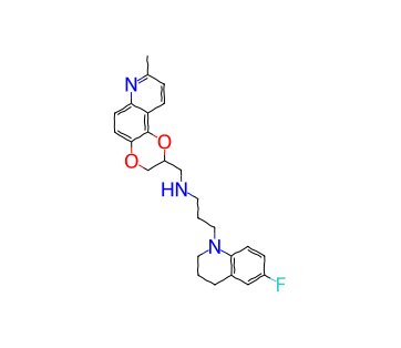 Cc1ccc2c3c(ccc2n1)OCC(CNCCCN1CCCc2cc(F)ccc21)O3